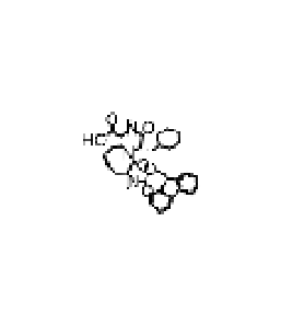 CN(CC(=O)O)C(=O)[C@H](CC1CCCCC1)N1CCC=CC[C@H](N(C)C(=O)OCC2c3ccccc3-c3ccccc32)C1=O